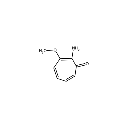 COc1ccccc(=O)c1N